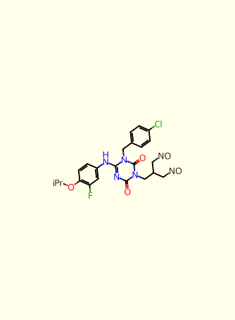 CC(C)Oc1ccc(Nc2nc(=O)n(CC(CN=O)CN=O)c(=O)n2Cc2ccc(Cl)cc2)cc1F